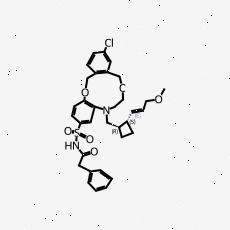 COC/C=C/[C@@H]1CC[C@H]1CN1CCCCc2cc(Cl)ccc2COc2ccc(S(=O)(=O)NC(=O)Cc3ccccc3)cc21